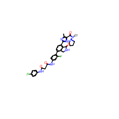 CCN(C(=O)c1[nH]c(-c2ccc(-c3ccc(NC(=O)CC(=O)Nc4ccc(F)cc4)cc3F)c3c2C(=O)NC3)nc1C)N1CCCC1